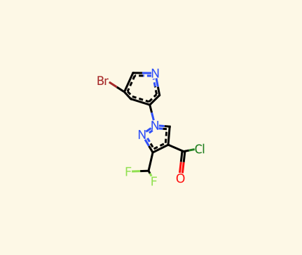 O=C(Cl)c1cn(-c2cncc(Br)c2)nc1C(F)F